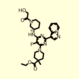 CCOC(=O)C1(C)CCN(c2nc(-c3cnn4ccccc34)nc(N[C@@H]3CCCN(C(=O)CO)C3)c2F)CC1